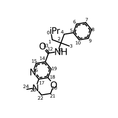 CC(C)CC(C)(Cc1ccccc1)NC(=O)c1cnc2c(c1)OCCN2C